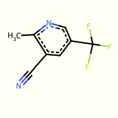 Cc1ncc(C(F)(F)F)cc1C#N